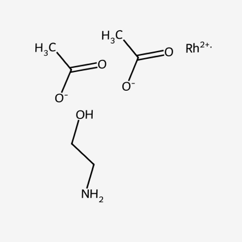 CC(=O)[O-].CC(=O)[O-].NCCO.[Rh+2]